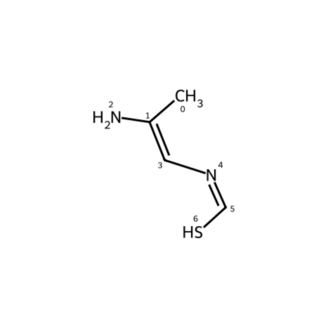 C/C(N)=C\N=C/S